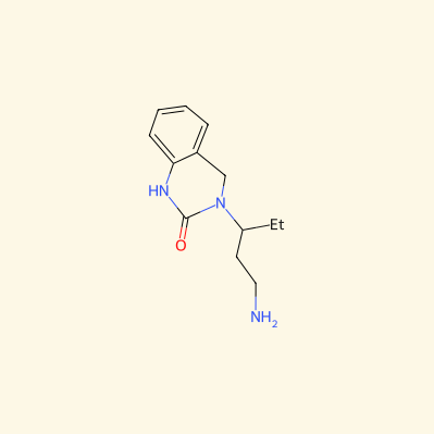 CCC(CCN)N1Cc2ccccc2NC1=O